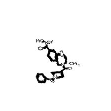 C[C@H]1COc2cc(C(=O)NO)ccc2CN1C(=O)C1CN(Oc2ccccc2)C1